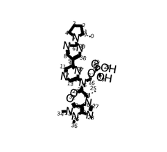 C[C@H]1CCCN1c1ncc(-c2cncc(N(COP(=O)(O)O)C(=O)[C@H](C)n3cnc4c3c(=O)n(C)n4C)n2)cn1